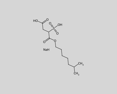 CC(C)CCCCCOC(=O)C(CC(=O)O)S(=O)(=O)O.[NaH]